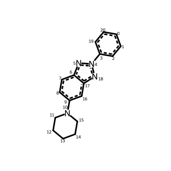 c1ccc(-n2nc3ccc(N4CCCCC4)cc3n2)cc1